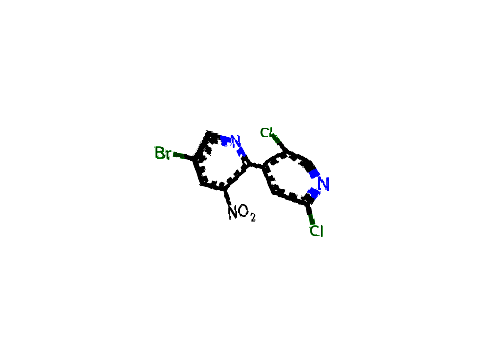 O=[N+]([O-])c1cc(Br)cnc1-c1cc(Cl)ncc1Cl